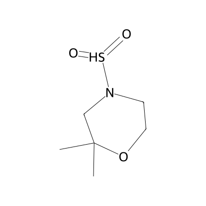 CC1(C)CN([SH](=O)=O)CCO1